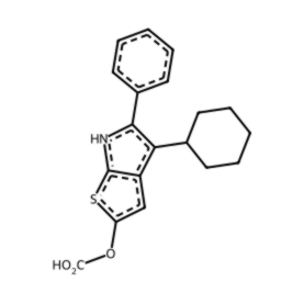 O=C(O)Oc1cc2c(C3CCCCC3)c(-c3ccccc3)[nH]c2s1